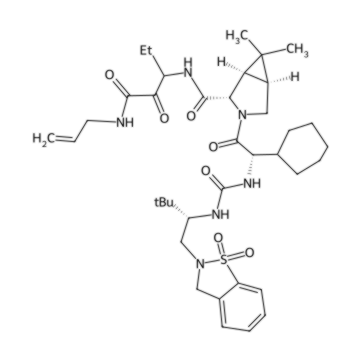 C=CCNC(=O)C(=O)C(CC)NC(=O)[C@@H]1[C@@H]2[C@H](CN1C(=O)[C@@H](NC(=O)N[C@H](CN1Cc3ccccc3S1(=O)=O)C(C)(C)C)C1CCCCC1)C2(C)C